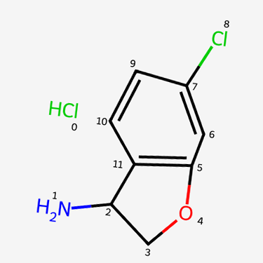 Cl.NC1COc2cc(Cl)ccc21